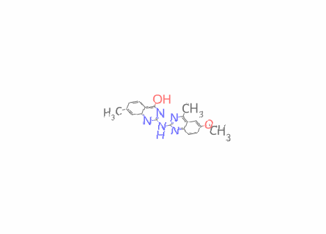 COc1ccc2nc(Nc3nc(O)c4ccc(C)cc4n3)nc(C)c2c1